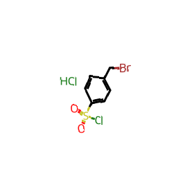 Cl.O=S(=O)(Cl)c1ccc(CBr)cc1